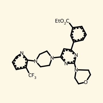 CCOC(=O)c1cccc(-c2cc(N3CCN(c4ncccc4C(F)(F)F)CC3)nc(N3CCOCC3)n2)c1